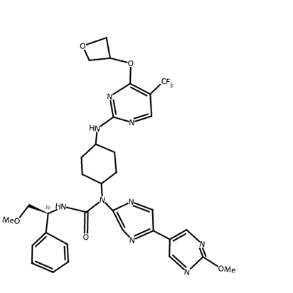 COC[C@@H](NC(=O)N(c1cnc(-c2cnc(OC)nc2)cn1)C1CCC(Nc2ncc(C(F)(F)F)c(OC3COC3)n2)CC1)c1ccccc1